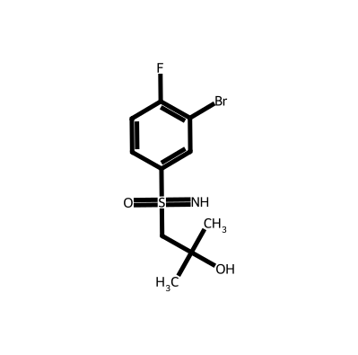 CC(C)(O)CS(=N)(=O)c1ccc(F)c(Br)c1